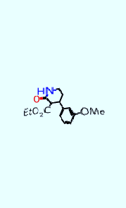 CCOC(=O)C1C(=O)NCCC1c1cccc(OC)c1